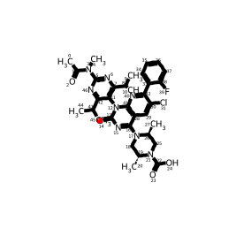 CC(=O)N(C)c1nc(C(C)C)c(-n2c(=O)nc(N3C[C@@H](C)N(C(=O)O)C[C@@H]3C)c3cc(Cl)c(-c4ccccc4F)nc32)c(C(C)C)n1